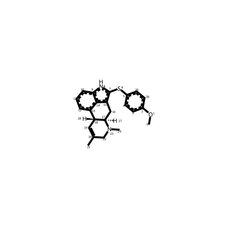 COc1ccc(Sc2[nH]c3cccc4c3c2C[C@@H]2[C@@H]4C=C(C)CN2C)cc1